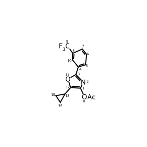 CC(=O)Oc1nc(-c2cccc(C(F)(F)F)c2)oc1C1CC1